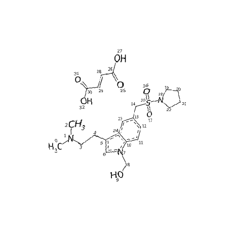 CN(C)CCc1cn(CO)c2ccc(CS(=O)(=O)N3CCCC3)cc12.O=C(O)C=CC(=O)O